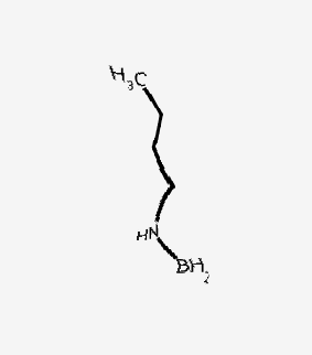 BNCCCC